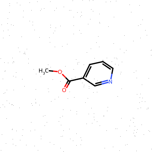 COC(=O)c1c[c]cnc1